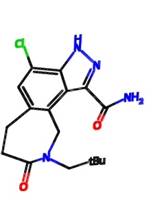 CC(C)(C)CN1Cc2c(cc(Cl)c3[nH]nc(C(N)=O)c23)C[CH]C1=O